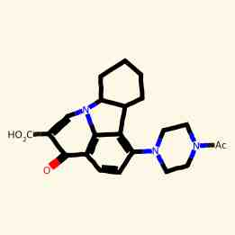 CC(=O)N1CCN(c2ccc3c(=O)c(C(=O)O)cn4c3c2C2CCCCC24)CC1